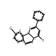 CCC1=CC(c2ccccc2)=NC2c3nc(Cl)ccc3C=CC12